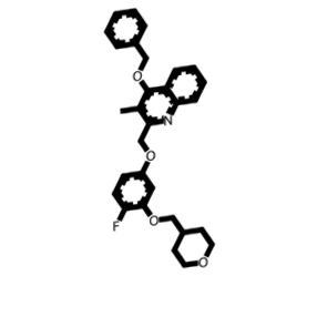 Cc1c(COc2ccc(F)c(OCC3CCOCC3)c2)nc2ccccc2c1OCc1ccccc1